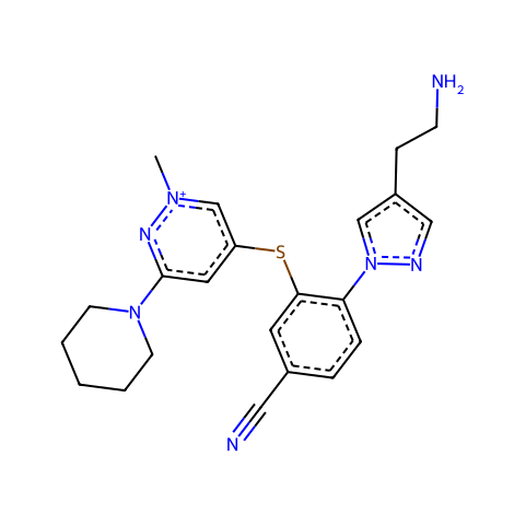 C[n+]1cc(Sc2cc(C#N)ccc2-n2cc(CCN)cn2)cc(N2CCCCC2)n1